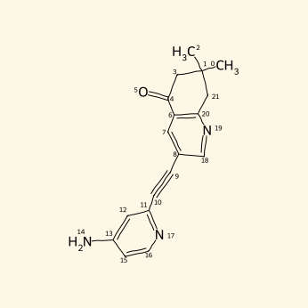 CC1(C)CC(=O)c2cc(C#Cc3cc(N)ccn3)cnc2C1